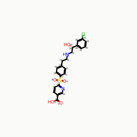 O=C(O)c1ccc(S(=O)(=O)c2ccc(CCNC[C@H](O)c3cccc(Cl)c3)cc2)nc1